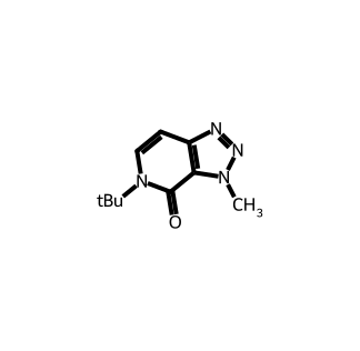 Cn1nnc2ccn(C(C)(C)C)c(=O)c21